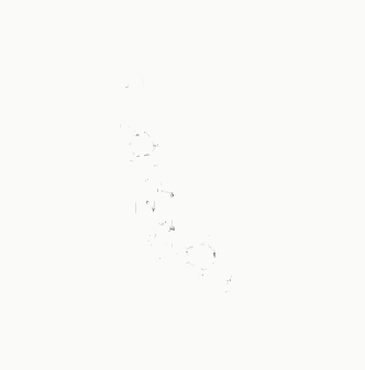 CCCSc1ccc(CCC(=O)NC2=NC(c3ccc(OC)cc3)CS2)cc1